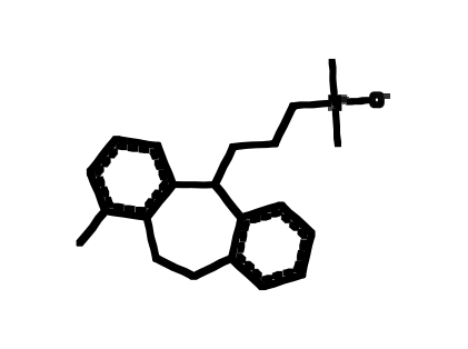 Cc1cccc2c1CCc1ccccc1C2CCC[N+](C)(C)[O-]